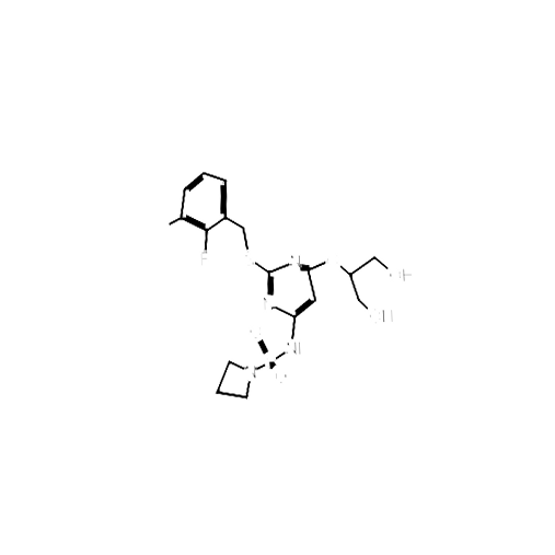 O=S(=O)(Nc1cc(OC(CO)CO)nc(SCc2cccc(F)c2F)n1)N1CCC1